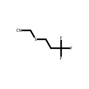 [C-]#[N+]CSCCC(F)(F)F